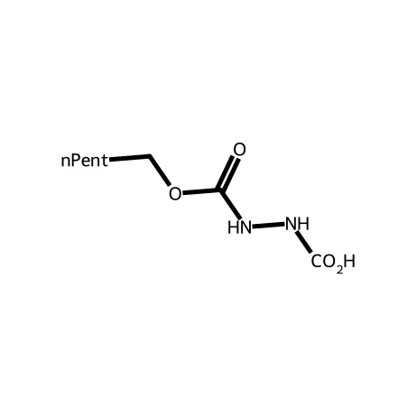 CCCCCCOC(=O)NNC(=O)O